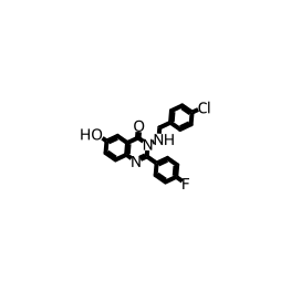 O=c1c2cc(O)ccc2nc(-c2ccc(F)cc2)n1NCc1ccc(Cl)cc1